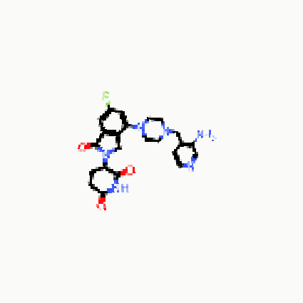 Nc1cnccc1CN1CCN(c2cc(F)cc3c2CN(C2CCC(=O)NC2=O)C3=O)CC1